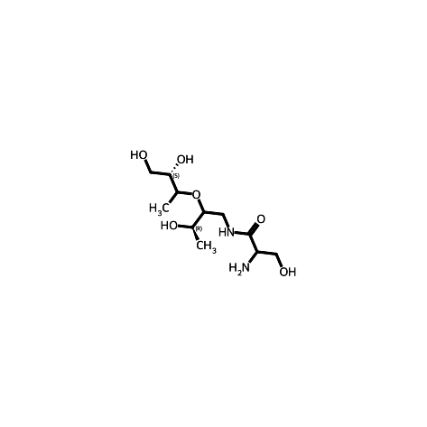 CC(OC(CNC(=O)C(N)CO)[C@@H](C)O)[C@@H](O)CO